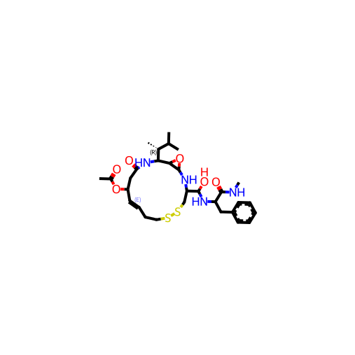 CNC(=O)C(Cc1ccccc1)NC(O)C1CSSCC/C=C/C(OC(C)=O)CC(=O)NC([C@H](C)C(C)C)C2OC2N1